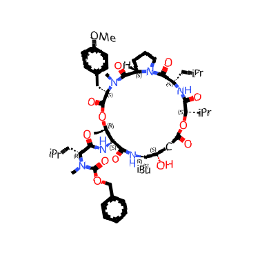 CC[C@H](C)[C@H]1NC(=O)[C@@H](NC(=O)[C@@H](CC(C)C)N(C)C(=O)OCc2ccccc2)[C@@H](C)OC(=O)[C@H](Cc2ccc(OC)cc2)N(C)C(=O)[C@@H]2CCCN2C(=O)[C@H](CC(C)C)NC(=O)[C@H](C(C)C)OC(=O)C[C@@H]1O